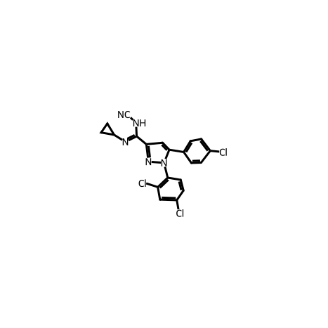 N#CNC(=NC1CC1)c1cc(-c2ccc(Cl)cc2)n(-c2ccc(Cl)cc2Cl)n1